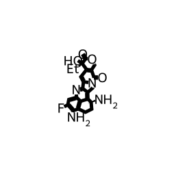 CC[C@@]1(O)C(=O)OCc2c1cc1n(c2=O)Cc2c-1nc1cc(F)c(N)c3c1c2[C@@H](N)CC3